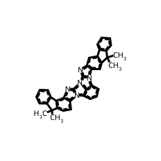 CC1(C)c2ccccc2-c2cc3nc4n(c3cc21)c1cccc2c1n4c1nc3c4c(ccc3n21)C(C)(C)c1ccccc1-4